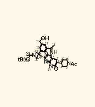 CC(=O)N1CCC(c2cc3c(NC(C)c4cc(CO)cc(C5(F)CN(C(=O)OC(C)(C)C)C5)c4)ncnc3n(C)c2=O)CC1